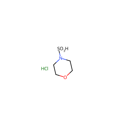 Cl.O=S(=O)(O)N1CCOCC1